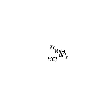 B.Cl.[NaH].[Zr]